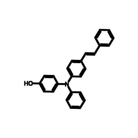 Oc1ccc(N(c2ccccc2)c2ccc(C=Cc3ccccc3)cc2)cc1